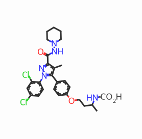 Cc1c(C(=O)NN2CCCCC2)nn(-c2ccc(Cl)cc2Cl)c1-c1ccc(OCCC(C)NC(=O)O)cc1